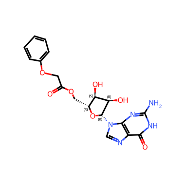 Nc1nc2c(ncn2[C@@H]2O[C@H](COC(=O)COc3ccccc3)[C@@H](O)[C@H]2O)c(=O)[nH]1